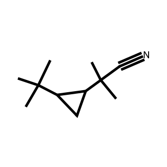 CC(C)(C)C1CC1C(C)(C)C#N